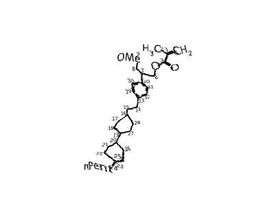 C=C(C)C(=O)OCC(COC)c1ccc(CCC2CCC(C3CCC(CCCCC)CC3)CC2)cc1